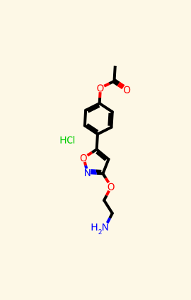 CC(=O)Oc1ccc(-c2cc(OCCN)no2)cc1.Cl